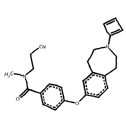 CN(CCC#N)C(=O)c1ccc(Oc2ccc3c(c2)CCN(C2=CC=C2)CC3)cc1